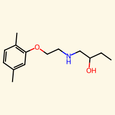 CCC(O)CNCCOc1cc(C)ccc1C